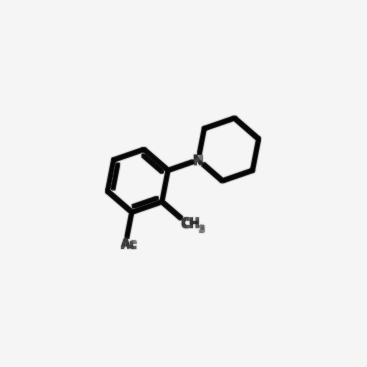 CC(=O)c1cccc(N2CCCCC2)c1C